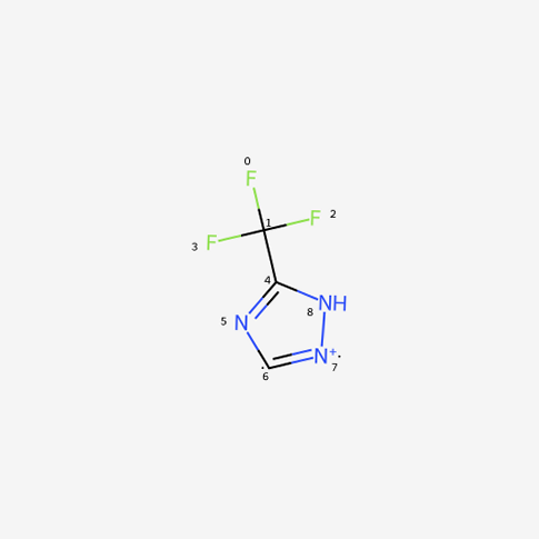 FC(F)(F)C1=N[C]=[N+]N1